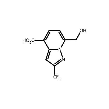 O=C(O)c1ccc(CO)n2nc(C(F)(F)F)cc12